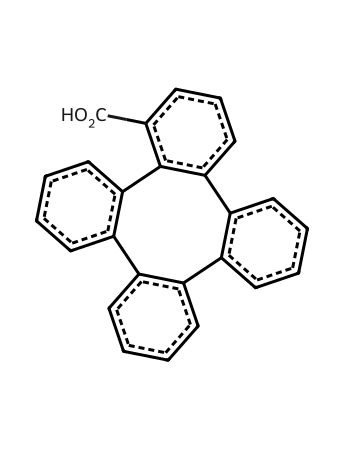 O=C(O)c1cccc2c1-c1ccccc1-c1ccccc1-c1ccccc1-2